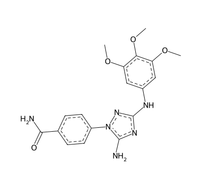 COc1cc(Nc2nc(N)n(-c3ccc(C(N)=O)cc3)n2)cc(OC)c1OC